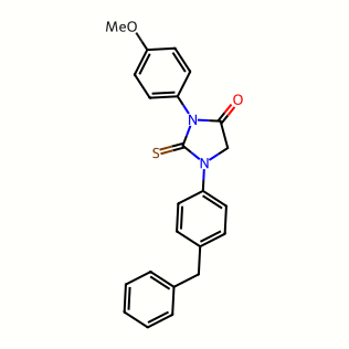 COc1ccc(N2C(=O)CN(c3ccc(Cc4ccccc4)cc3)C2=S)cc1